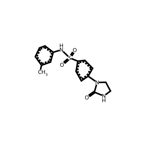 Cc1cccc(NS(=O)(=O)c2ccc(N3CCNC3=O)cc2)c1